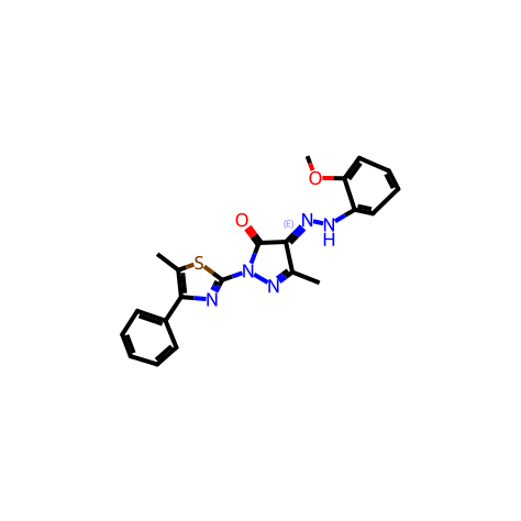 COc1ccccc1N/N=C1/C(=O)N(c2nc(-c3ccccc3)c(C)s2)N=C1C